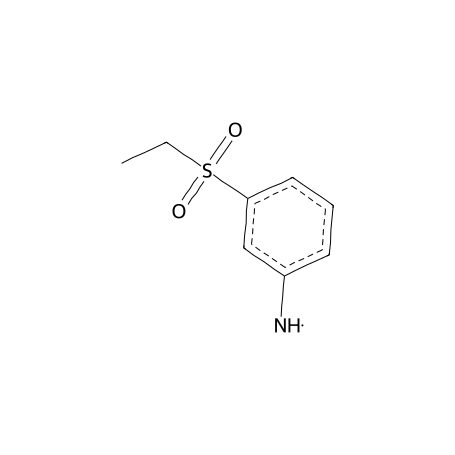 CCS(=O)(=O)c1cccc([NH])c1